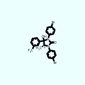 C[C@@H]1N(c2ccc(Br)cc2)C(=O)N(c2ccc(Br)cc2)C1(O)c1cccc(C(F)(F)F)c1